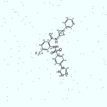 O=C(NC12CC(c3ccccc3)(C1)C2)c1ccc(C(F)(F)F)cc1NS(=O)(=O)c1ccc(-n2cnnn2)cc1